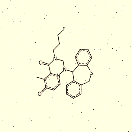 Cc1c2n(ccc1=O)N(C1c3ccccc3CSc3ccccc31)CN(CCCF)C2=O